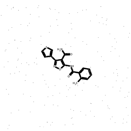 Cc1ccccc1C(=O)Nc1onc(-c2ccsc2)c1C(N)=O